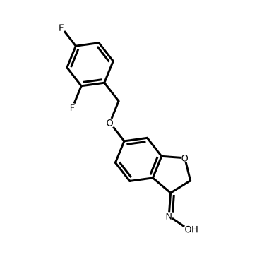 ON=C1COc2cc(OCc3ccc(F)cc3F)ccc21